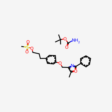 CC(C)(C)OC(N)=O.Cc1oc(-c2ccccc2)nc1COc1ccc(CCCOS(C)(=O)=O)cc1